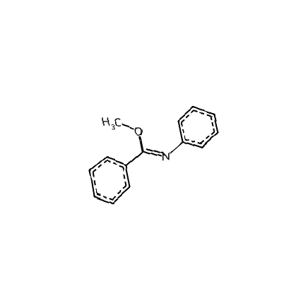 COC(=Nc1ccccc1)c1ccccc1